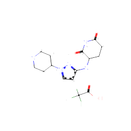 O=C(O)C(F)(F)F.O=C1CCC(Nc2ccn(C3CCNCC3)n2)C(=O)N1